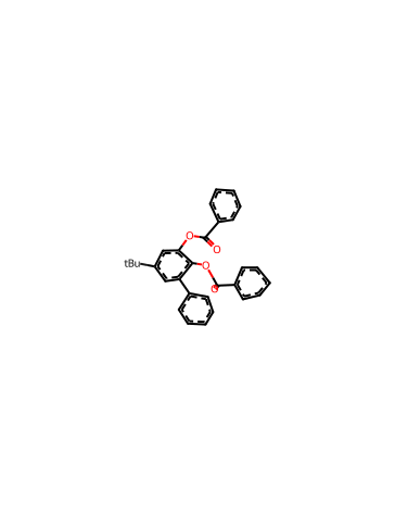 CC(C)(C)c1cc(OC(=O)c2ccccc2)c(OC(=O)c2ccccc2)c(-c2ccccc2)c1